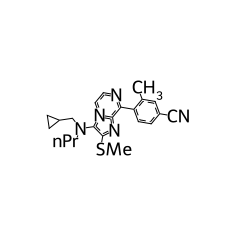 CCCN(CC1CC1)c1c(SC)nc2c(-c3ccc(C#N)cc3C)nccn12